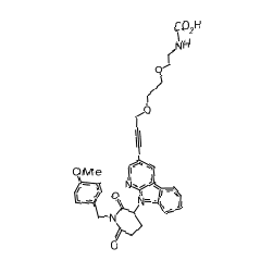 COc1ccc(CN2C(=O)CCC(n3c4ccccc4c4cc(C#CCOCCOCCNC(=O)O)cnc43)C2=O)cc1